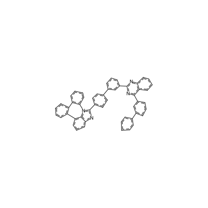 c1ccc(-c2cccc(-c3nc(-c4cccc(-c5ccc(-c6nc7cccc8c7n6-c6ccccc6-c6ccccc6-8)cc5)c4)nc4ccccc34)c2)cc1